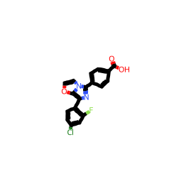 O=C(O)c1ccc(-c2nc(-c3ccc(Cl)cc3F)c3occn23)cc1